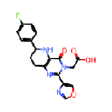 O=C(O)Cn1c(-c2cocn2)nc2c(c1=O)NC(c1ccc(F)cc1)CC2